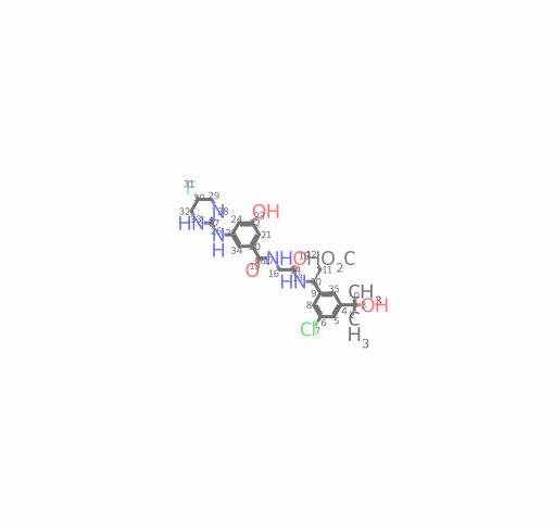 CC(C)(O)c1cc(Cl)cc([C@H](CC(=O)O)NC(=O)CNC(=O)c2cc(O)cc(NC3=NCC(F)CN3)c2)c1